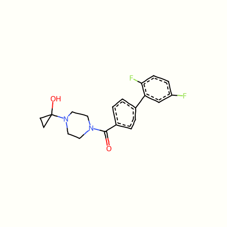 O=C(c1ccc(-c2cc(F)ccc2F)cc1)N1CCN(C2(O)CC2)CC1